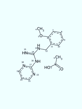 CC(=O)O.COc1ccccc1CNC(=N)Nc1ncccn1